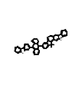 CC1(C)c2ccc(-c3c4ccccc4c(-c4ccc5c(c4)oc4ccccc45)c4ccccc34)cc2-c2ccc3cc4c(cc3c21)oc1ccccc14